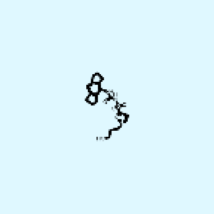 O=C(Nc1c2c(cc3c1CCC3)CCC2)NS(=O)(=O)c1ccn(CCCO)n1